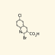 O=C(O)c1cc2cc(Cl)ccc2nc1Br